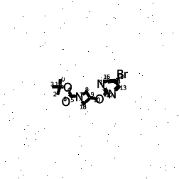 CC(C)(C)OC(=O)N1CC(Oc2ncc(Br)cn2)C1